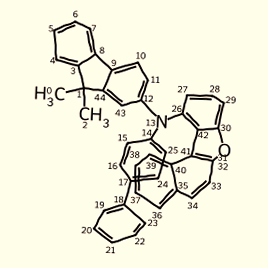 CC1(C)c2ccccc2-c2ccc(N(c3ccc(-c4ccccc4)cc3)c3cccc4oc5ccc6ccccc6c5c34)cc21